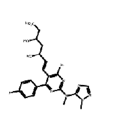 CC(C)c1nc(N(C)c2ncnn2C)nc(-c2ccc(F)cc2)c1/C=C/[C@@H](O)C[C@@H](O)CC(=O)O